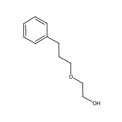 OCCOCCCc1c[c]ccc1